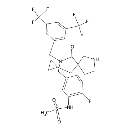 CS(=O)(=O)Nc1cc(CN(Cc2cc(C(F)(F)F)cc(C(F)(F)F)c2)C(=O)C2(CC3CC3)CCNC2)ccc1F